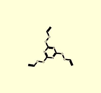 C=COOc1nc(OOC=C)nc(OOC=C)n1